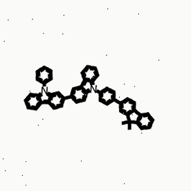 CC1(C)c2ccccc2-c2ccc(-c3ccc(-n4c5ccccc5c5cc(-c6ccc7c8ccccc8n(-c8ccccc8)c7c6)ccc54)cc3)cc21